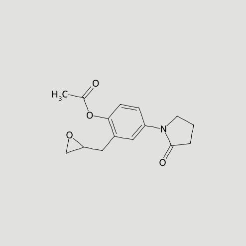 CC(=O)Oc1ccc(N2CCCC2=O)cc1CC1CO1